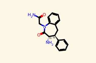 NC(=O)CN1C(=O)[C@@H](N)[C@H](c2ccccc2)Cc2ccccc21